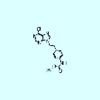 CC(C)(C)OC(=O)Nc1ccc(CCn2cnc3c(Cl)ncnc32)cc1